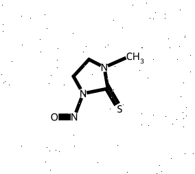 CN1CCN(N=O)C1=S